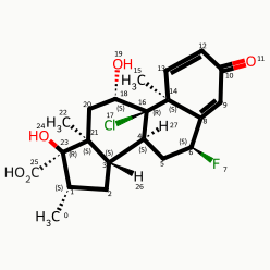 C[C@H]1C[C@H]2[C@@H]3C[C@H](F)C4=CC(=O)C=C[C@]4(C)[C@@]3(Cl)[C@@H](O)C[C@]2(C)[C@@]1(O)C(=O)O